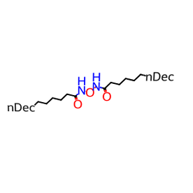 CCCCCCCCCCCCCCCC(=O)NONC(=O)CCCCCCCCCCCCCCC